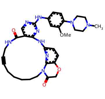 COc1cc(Nc2ncc3c(n2)Nc2ccc4c(n2)N(CCCCCC#CCNC3=O)C(=O)CO4)ccc1N1CCN(C)CC1